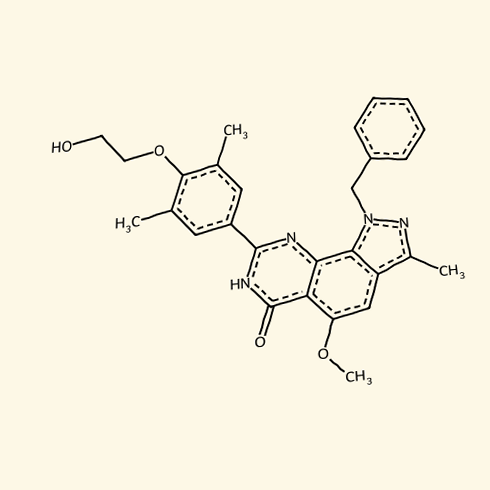 COc1cc2c(C)nn(Cc3ccccc3)c2c2nc(-c3cc(C)c(OCCO)c(C)c3)[nH]c(=O)c12